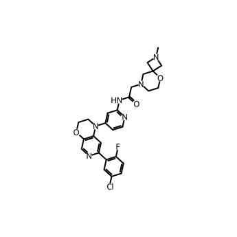 CN1CC2(C1)CN(CC(=O)Nc1cc(N3CCOc4cnc(-c5cc(Cl)ccc5F)cc43)ccn1)CCO2